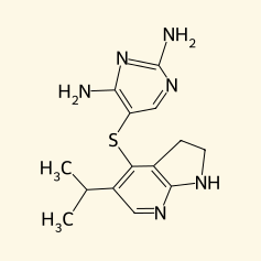 CC(C)c1cnc2c(c1Sc1cnc(N)nc1N)CCN2